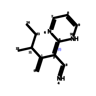 C=C(/C(C=N)=C1\N=CC=CN1)C(C)CC